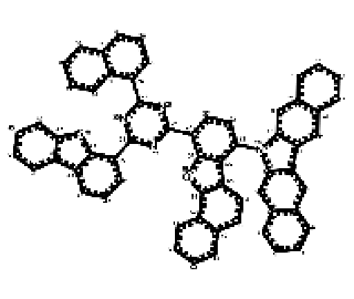 c1ccc2cc3c(cc2c1)c1cc2ccccc2cc1n3-c1ccc(-c2nc(-c3cccc4ccccc34)nc(-c3cccc4c3sc3ccccc34)n2)c2oc3c4ccccc4ccc3c12